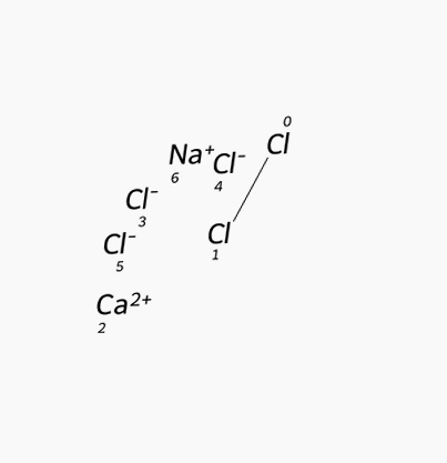 ClCl.[Ca+2].[Cl-].[Cl-].[Cl-].[Na+]